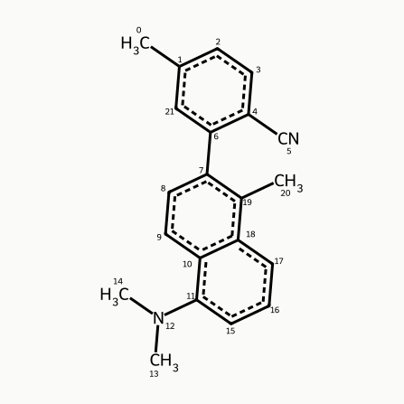 Cc1ccc(C#N)c(-c2ccc3c(N(C)C)cccc3c2C)c1